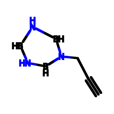 C#CCN1BNBNB1